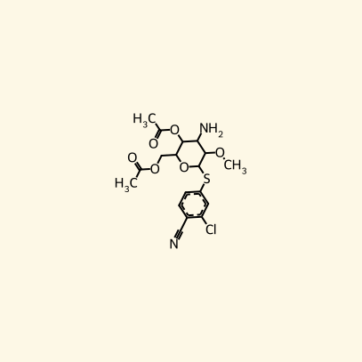 COC1C(Sc2ccc(C#N)c(Cl)c2)OC(COC(C)=O)C(OC(C)=O)C1N